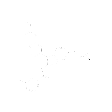 C=CC(=O)Nc1cccc(-n2c(NC(=O)c3cccc(Cl)c3)nc3cc(CN[C@@H](C)C(C)(C)C)ccc32)c1